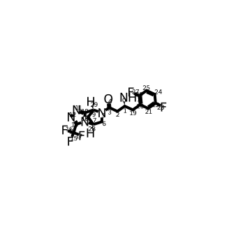 N[C@@H](CC(=O)N1C[C@@H]2C[C@H]1c1nnc(C(F)(F)F)n12)Cc1cc(F)ccc1F